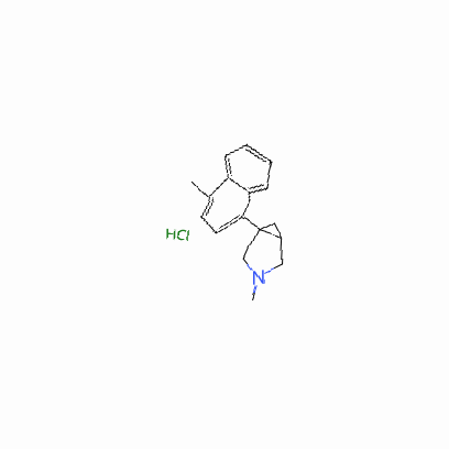 Cc1ccc(C23CC2CN(C)C3)c2ccccc12.Cl